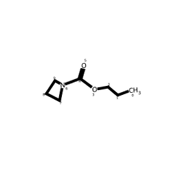 CCCOC(=O)N1CCC1